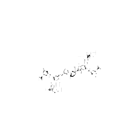 Cc1c(COc2cc(OCc3cncc(C#N)c3)c(CNC[C@H](O)C(=O)O)cc2Cl)cccc1-c1cccc(COc2cc(OCc3cncc(C#N)c3)c(CNC[C@H](O)C(=O)O)cc2Cl)c1C